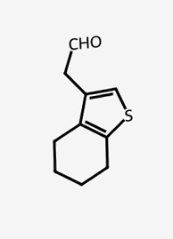 O=CCc1csc2c1CCCC2